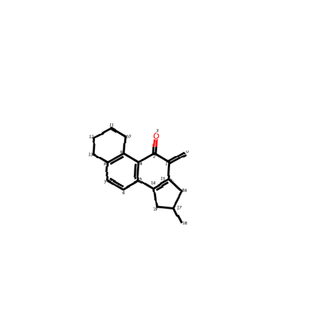 C=C1C(=O)c2c(ccc3c2CCCC3)C2=C1CC(C)C2